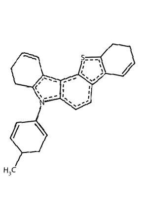 CC1C=CC(n2c3c(c4c5sc6c(c5ccc42)C=CCC6)C=CCC3)=CC1